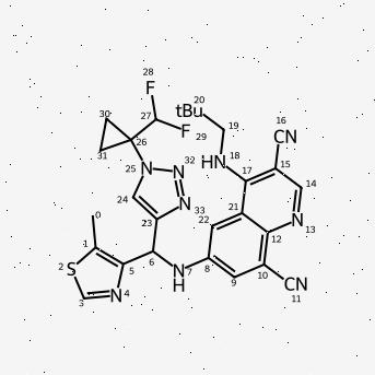 Cc1scnc1C(Nc1cc(C#N)c2ncc(C#N)c(NCC(C)(C)C)c2c1)c1cn(C2(C(F)F)CC2)nn1